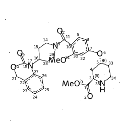 COC(=O)[C@H]1C[C@H](Oc2ccc(C(=O)N3CCC(N4C(=O)OCc5ccccc54)CC3)c(OC)c2)CCN1